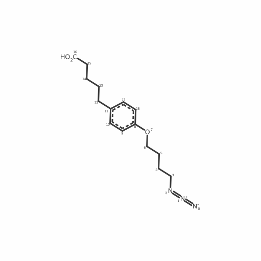 [N-]=[N+]=NCCCCOc1ccc(CCCCC(=O)O)cc1